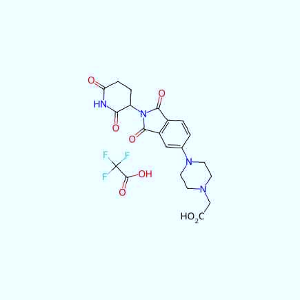 O=C(O)C(F)(F)F.O=C(O)CN1CCN(c2ccc3c(c2)C(=O)N(C2CCC(=O)NC2=O)C3=O)CC1